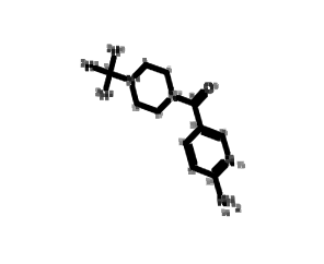 [2H]C([2H])([2H])N1CCN(C(=O)c2ccc(N)nc2)CC1